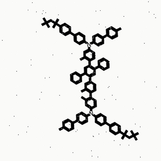 Cc1ccc(-c2ccc(N(c3ccc(-c4ccc(C(C)(C)CC(C)(C)C)cc4)cc3)c3ccc(-c4ccc(-c5cc(-c6ccccc6)c(-c6ccc(N(c7ccc(-c8ccc(C)cc8)cc7)c7ccc(-c8ccc(C(C)(C)CC(C)(C)C)cc8)cc7)cc6C)cc5-c5ccccc5)cc4C)c(C)c3)cc2)cc1